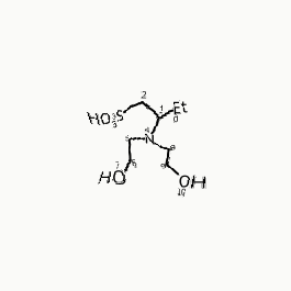 CCC(CS(=O)(=O)O)N(CCO)CCO